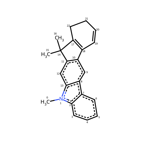 Cn1c2ccccc2c2cc3c(cc21)C(C)(C)C1=C3C=CCC1